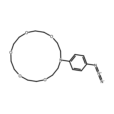 [N-]=[N+]=Nc1ccc(N2CCOCCOCCOCCOCCOCC2)cc1